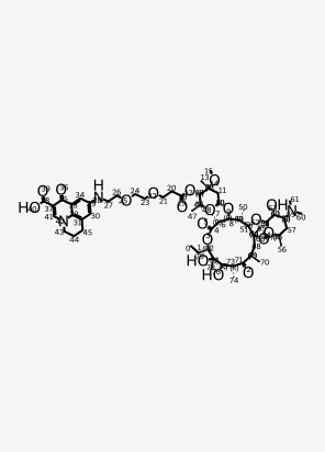 CC[C@H]1OC(=O)[C@H](C)[C@@H](O[C@H]2C[C@@](C)(OC)[C@@H](OC(=O)CCOCCOCCNc3cc4c5c(c3)c(=O)c(C(=O)O)cn5CCC4)[C@H](C)O2)[C@H](C)[C@@H](O[C@@H]2O[C@H](C)C[C@H](N(C)C)[C@H]2O)[C@](C)(OC)C[C@@H](C)C(=O)[C@H](C)[C@@H](O)[C@]1(C)O